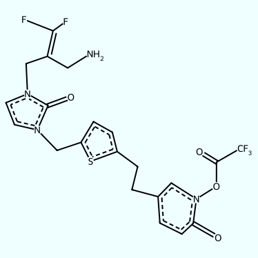 NCC(Cn1ccn(Cc2ccc(CCc3ccc(=O)n(OC(=O)C(F)(F)F)c3)s2)c1=O)=C(F)F